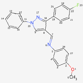 COc1ccc(N=Cc2cn(-c3ccccc3)nc2-c2ccc(F)cc2)cc1